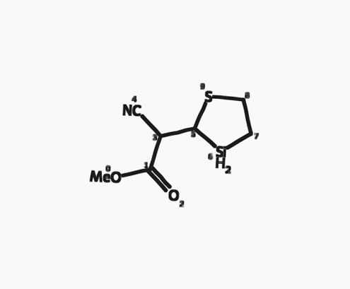 COC(=O)C(C#N)C1[SiH2]CCS1